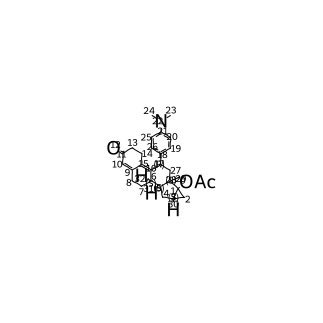 CC(=O)OC12C[C@@H]1C[C@H]1[C@@H]3CCC4=CC(=O)CCC4=C3[C@@H](c3ccc(N(C)C)cc3)C[C@@]12C